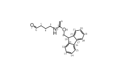 C=C(NCCCC=O)OCC1c2ccccc2-c2ccccc21